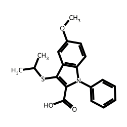 COc1ccc2c(c1)c(SC(C)C)c(C(=O)O)n2-c1ccccc1